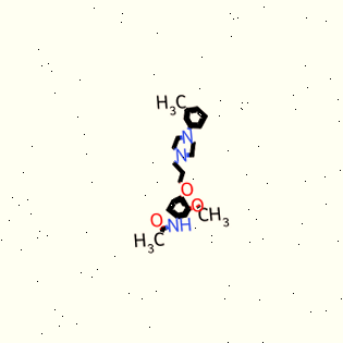 COc1cc(NC(C)=O)ccc1OCCCN1CCN(c2cccc(C)c2)CC1